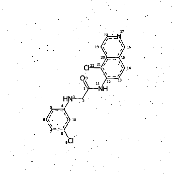 O=C(CNc1cccc(Cl)c1)Nc1ccc2cnccc2c1Cl